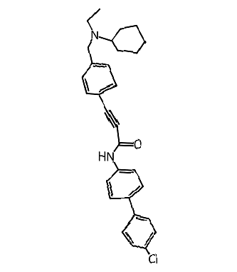 CCN(Cc1ccc(C#CC(=O)Nc2ccc(-c3ccc(Cl)cc3)cc2)cc1)C1CCCCC1